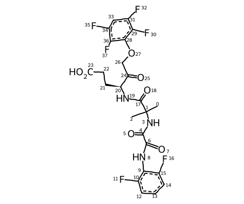 CC(C)(NC(=O)C(=O)Nc1c(F)cccc1F)C(=O)N[C@@H](CCC(=O)O)C(=O)COc1c(F)c(F)cc(F)c1F